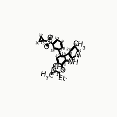 C[CH]C(Oc1ccc(-c2cccc(S(=O)(=O)C3CC3)c2)c2c1[nH]c1ncc(C)cc12)N(C)C